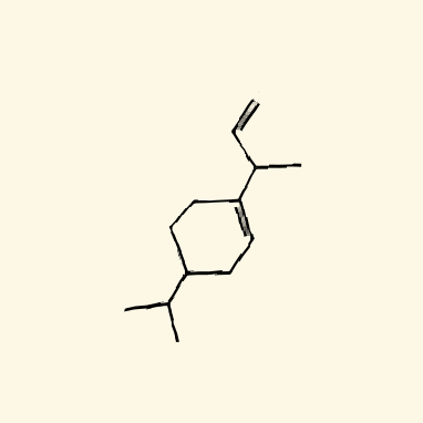 CC(C=O)C1=CCC(C(C)C)CC1